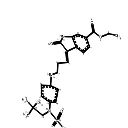 CCOC(=O)c1ccc2c(c1)NC(=O)C2=CCCNc1ccc(N(CC(C)(C)N)S(C)(=O)=O)cc1